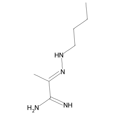 CCCCN/N=C(\C)C(=N)N